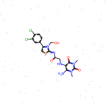 Cn1c(N)c(NCC(=O)/N=c2\scc(-c3ccc(Cl)c(Cl)c3)n2CO)c(=O)n(C)c1=O